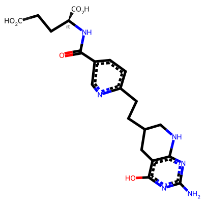 Nc1nc(O)c2c(n1)NCC(CCc1ccc(C(=O)N[C@@H](CCC(=O)O)C(=O)O)cn1)C2